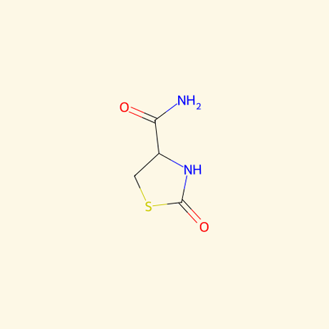 NC(=O)C1CSC(=O)N1